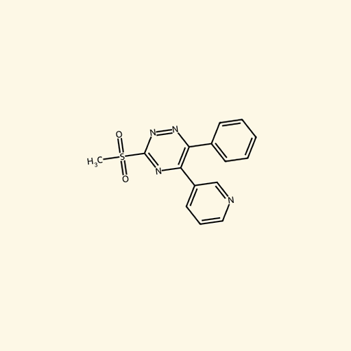 CS(=O)(=O)c1nnc(-c2ccccc2)c(-c2cccnc2)n1